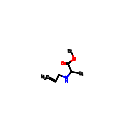 C=CCNC(CC)C(=O)OCC